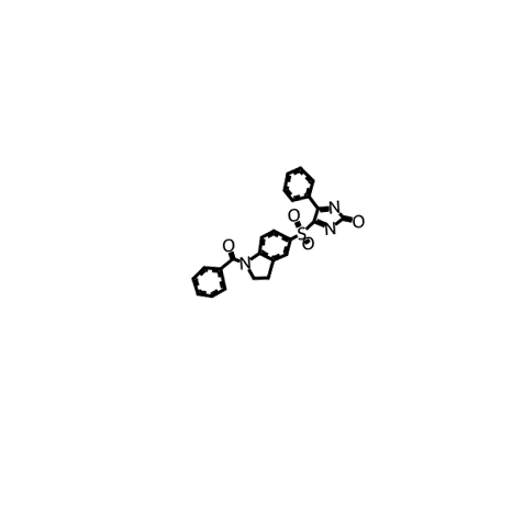 O=C1N=C(c2ccccc2)C(S(=O)(=O)c2ccc3c(c2)CCN3C(=O)c2ccccc2)=N1